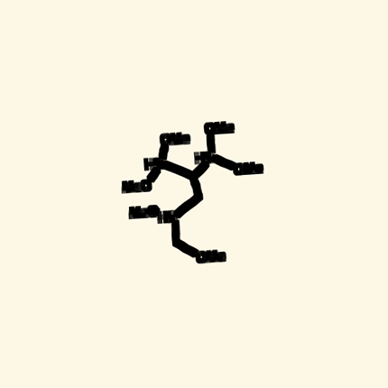 COC[SiH](CC([SiH](OC)OC)[SiH](OC)OC)OC